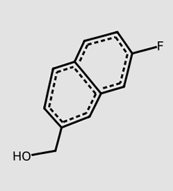 OCc1ccc2ccc(F)cc2c1